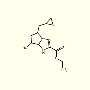 CCOC(=O)C1=NN2C(CC3CC3)CC(O)C2N1